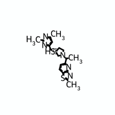 Cc1cc(C[Si@@H]2CCN(C(C)c3ccc4sc(C)nc4n3)C2)nc(C)n1